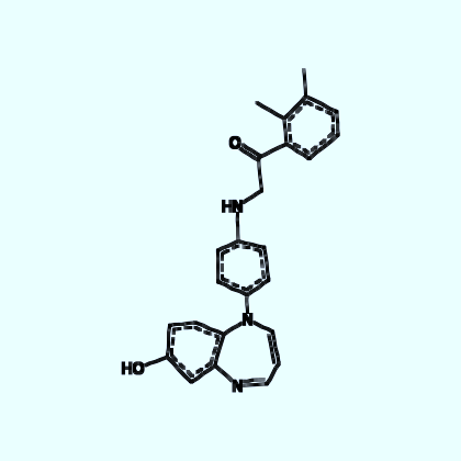 Cc1cccc(C(=O)CNc2ccc(N3C=CC=Nc4cc(O)ccc43)cc2)c1C